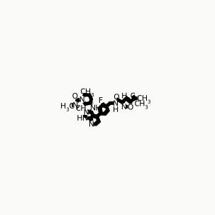 C[C@H]1CC[C@@H](Nc2n[nH]c3nccc(-c4ccc(CNC(=O)c5cc(C(C)(C)C)on5)c(F)c4)c23)CN1C(=O)N(C)C